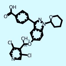 C[C@@H](Oc1ccc2c(c1)c(-c1ccc(C(=O)O)cc1)nn2C1CCCCO1)c1c(Cl)cncc1Cl